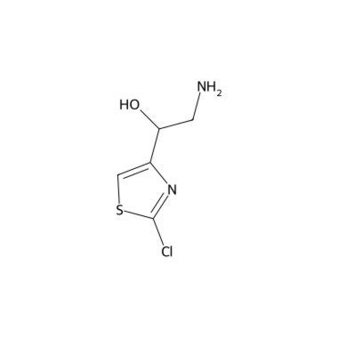 NCC(O)c1csc(Cl)n1